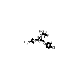 NC1CN(c2nnc(COc3ccc(Cl)c(F)c3)o2)C1.O=C(O)C(F)(F)F